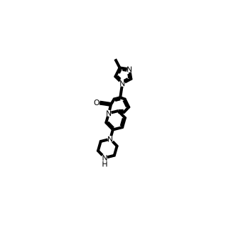 Cc1cn(C2=C\C(=O)N3C=C(N4CCNCC4)C=C\C3=C/C=C/2)cn1